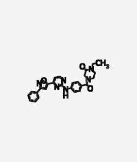 CCN1CCN(C(=O)c2ccc(Nc3nccc(-c4cc(-c5ccccc5)no4)n3)cc2)CC1=O